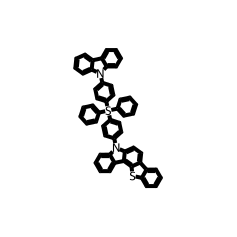 c1ccc(S(c2ccccc2)(c2ccc(-n3c4ccccc4c4ccccc43)cc2)c2ccc(-n3c4ccccc4c4c5sc6ccccc6c5ccc43)cc2)cc1